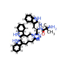 CC(C)(N)C(=O)N[C@H](Cc1c[nH]c2ccccc12)c1nnc(CCCc2c[nH]c3ccccc23)n1CCC1=CNC2C=CC=CC12